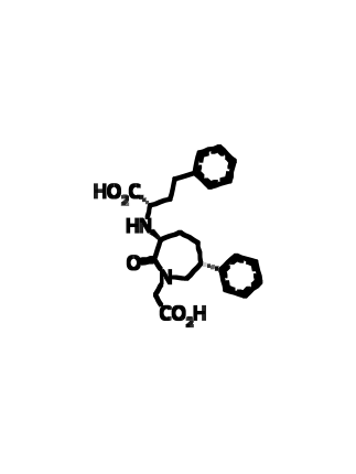 O=C(O)CN1C[C@@H](c2ccccc2)CC[C@H](N[C@@H](CCc2ccccc2)C(=O)O)C1=O